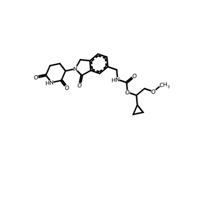 COCC(OC(=O)NCc1ccc2c(c1)C(=O)N(C1CCC(=O)NC1=O)C2)C1CC1